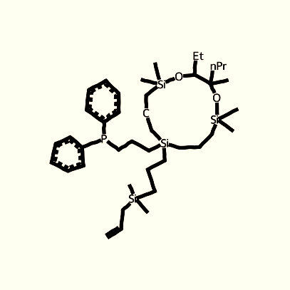 C=CC[Si](C)(C)CCC[Si]1(CCCP(c2ccccc2)c2ccccc2)CCC[Si](C)(C)OC(CC)C(C)(CCC)O[Si](C)(C)CCC1